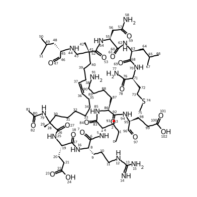 CC[C@H](C)[C@H](NC(=O)[C@H](CCCNC(=N)N)NC(=O)[C@H](CCC(=O)O)NC(=O)[C@@](C)(CCCCCC/C=C\CCC[C@](C)(CN[C@H](C=O)CC(C)C)C(=O)N[C@@H](CC(N)=O)C(=O)N[C@@H](CC(C)C)C(=O)N[C@@H](CCSC)C(N)=O)NC(C)=O)C(=O)N[C@@H](CCCCN)C(=O)N[C@H](C=O)CCC(=O)O